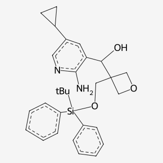 CC(C)(C)[Si](OCC1(C(O)c2cc(C3CC3)cnc2N)COC1)(c1ccccc1)c1ccccc1